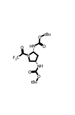 CC(C)(C)OC(=O)N[C@H]1C[C@@H](NC(=O)OC(C)(C)C)N(C(=O)C(F)(F)F)C1